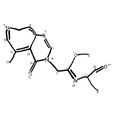 CO/C(Cn1cnc2cncc(C)c2c1=O)=N\C(C)C=O